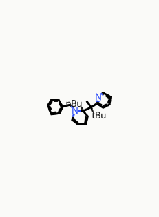 CCCCC1(C(C)(c2ccccn2)C(C)(C)C)C=CC=CN1Cc1ccccc1